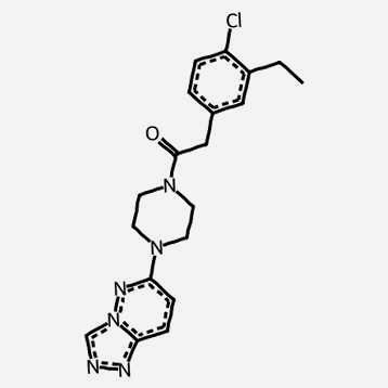 CCc1cc(CC(=O)N2CCN(c3ccc4nncn4n3)CC2)ccc1Cl